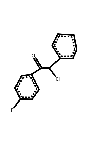 O=C(c1ccc(F)cc1)C(Cl)c1ccccc1